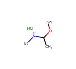 CCCOC(C)NCC.Cl